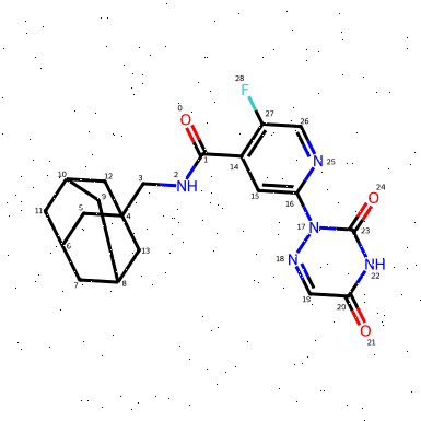 O=C(NCC12CC3CC(CC(C3)C1)C2)c1cc(-n2ncc(=O)[nH]c2=O)ncc1F